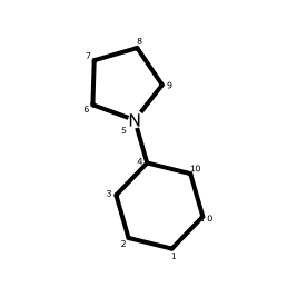 [CH]1CCCC(N2CCCC2)C1